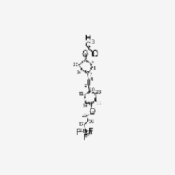 CC(=O)Oc1ccc(C#Cc2ccc(OCCCC(F)(F)F)cc2)cc1